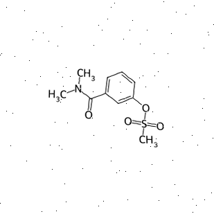 CN(C)C(=O)c1cccc(OS(C)(=O)=O)c1